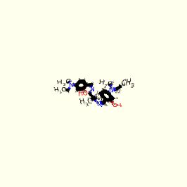 CCN(C)c1ccc(/C=N\CC(C)(C)/N=C\c2ccc(N(C)CC)cc2O)c(O)c1